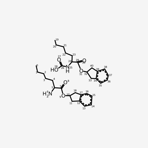 CCCCCC(N)C(=O)OC1Cc2ccccc2C1.CCCCCC(NC(=O)O)C(=O)OC1Cc2ccccc2C1